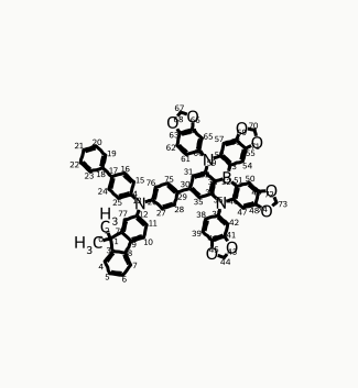 CC1(C)c2ccccc2-c2ccc(N(c3ccc(-c4ccccc4)cc3)c3ccc(-c4cc5c6c(c4)N(c4ccc7c(c4)OCO7)c4cc7c(cc4B6c4cc6c(cc4N5c4ccc5c(c4)OCO5)OCO6)OCO7)cc3)cc21